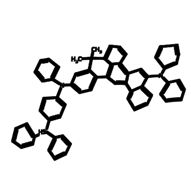 CC1(C)c2cc(N(c3ccccc3)c3ccc([SiH](c4ccccc4)c4ccccc4)cc3)ccc2-c2cc3c4ccccc4c(N(c4ccccc4)c4ccccc4)cc3c3cccc1c23